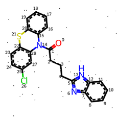 O=C(CCCc1nc2ccccc2[nH]1)N1c2ccccc2Sc2ccc(Cl)cc21